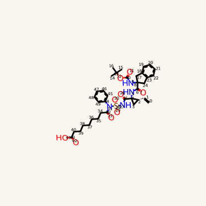 C=C[C@@H]1C[C@]1(NC(=O)C1(NC(=O)OC(C)(C)C)Cc2ccccc2C1)C(=O)NS(=O)(=O)N(C(=O)CCCCCCCC(=O)O)c1ccccc1